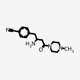 CN1CCN(C(=O)CC(N)Cc2ccc(C#N)cc2)CC1